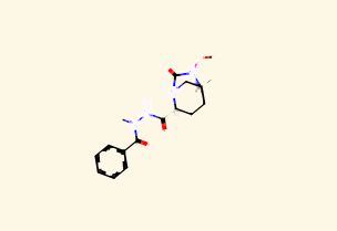 CCN(NC(=O)[C@@H]1CC[C@@H]2CN1C(=O)N2OS(=O)(=O)O)C(=O)c1ccccc1